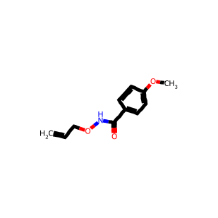 C=CCONC(=O)c1ccc(OC)cc1